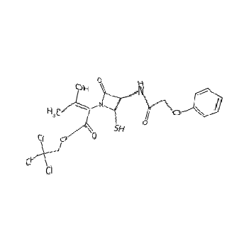 CC(O)=C(C(=O)OCC(Cl)(Cl)Cl)N1C(=O)C(NC(=O)COc2ccccc2)C1S